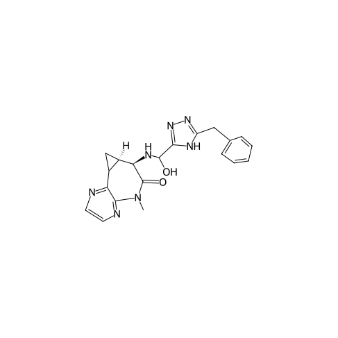 CN1C(=O)[C@H](NC(O)c2nnc(Cc3ccccc3)[nH]2)[C@@H]2CC2c2nccnc21